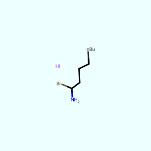 CCCCCCCC(N)Br.I